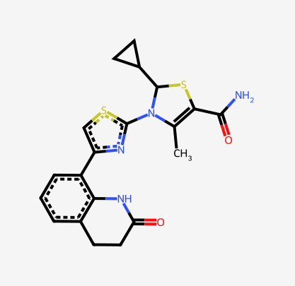 CC1=C(C(N)=O)SC(C2CC2)N1c1nc(-c2cccc3c2NC(=O)CC3)cs1